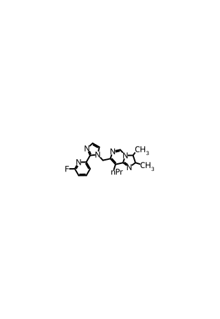 CCCC1=C(Cn2ccnc2-c2cccc(F)n2)N=CN2C1=NC(C)C2C